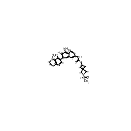 Cc1c(-c2cc3cc(NC(=O)OC4CC5(C4)CN(S(C)(=O)=O)C5)ncc3c(N)c2F)cnc2c1NCCO2